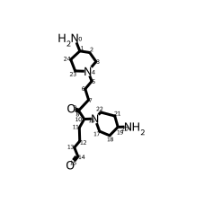 NC1CCN(CCCC(=O)C(CCCC=O)N2CCC(N)CC2)CC1